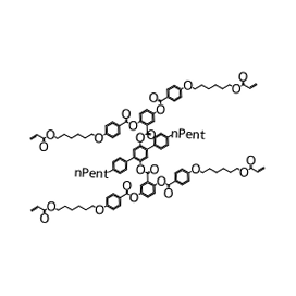 C=CC(=O)OCCCCCCOc1ccc(C(=O)Oc2ccc(OC(=O)c3ccc(OCCCCCCOC(=O)C=C)cc3)c(C(=O)Oc3cc(-c4ccc(CCCCC)cc4)c(OC(=O)c4cc(OC(=O)c5ccc(OCCCCCCOC(=O)C=C)cc5)ccc4OC(=O)c4ccc(OCCCCCCOC(=O)C=C)cc4)cc3-c3ccc(CCCCC)cc3)c2)cc1